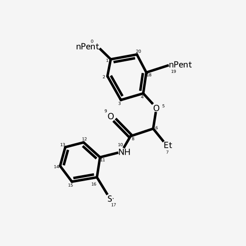 CCCCCc1ccc(OC(CC)C(=O)Nc2ccccc2[S])c(CCCCC)c1